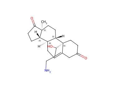 C[C@]12CC[C@H]3[C@@H](CC=C4CC(=O)CC[C@@]43C(O)CCN)[C@@H]1CCC2=O